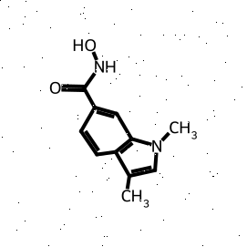 Cc1cn(C)c2cc(C(=O)NO)ccc12